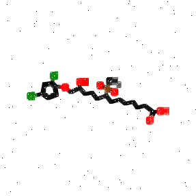 CS(=O)(=O)C(CCCCCCC(=O)O)CCCC(O)COc1ccc(Cl)cc1Cl